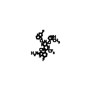 CC1NCCC1Oc1nc(OCC23CCCN2CC(F)C3)nc2cc(-c3ccc(F)c4sc(N)c(C#N)c34)c(C(F)(F)F)nc12